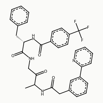 CC(NC(=O)Cc1cccc(-c2ccccn2)c1)C(=O)CNC(=O)[C@H](Cc1ccccc1)NC(=O)c1ccc(C(F)(F)F)cc1